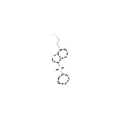 NCCc1cccc2c(S(=O)(=O)c3ccccc3)c[nH]c12